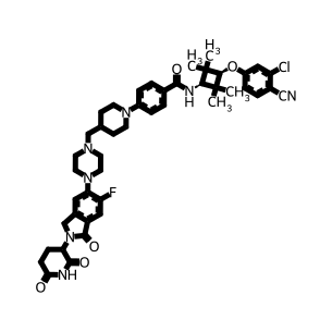 CC1(C)[C@H](NC(=O)c2ccc(N3CCC(CN4CCN(c5cc6c(cc5F)C(=O)N(C5CCC(=O)NC5=O)C6)CC4)CC3)cc2)C(C)(C)[C@H]1Oc1ccc(C#N)c(Cl)c1